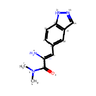 CN(C)C(=O)/C(N)=C/c1ccc2[nH]ncc2c1